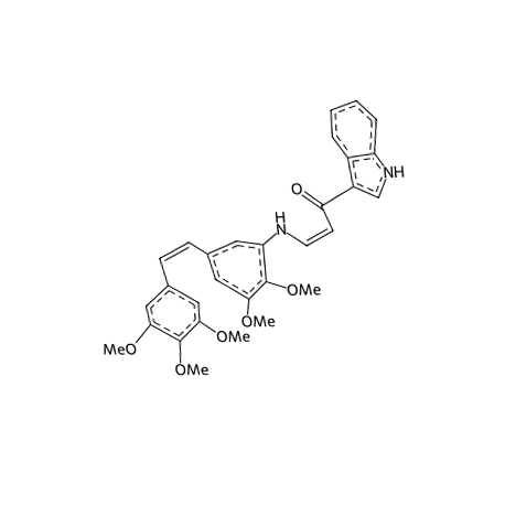 COc1cc(/C=C\c2cc(OC)c(OC)c(OC)c2)cc(N/C=C\C(=O)c2c[nH]c3ccccc23)c1OC